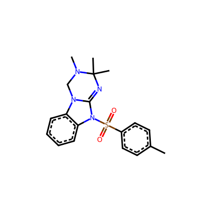 Cc1ccc(S(=O)(=O)N2C3=NC(C)(C)N(C)CN3c3ccccc32)cc1